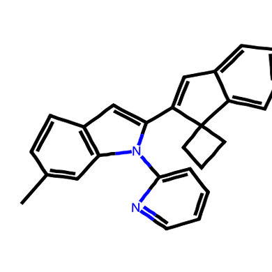 Cc1ccc2cc(C3=Cc4ccccc4C34CCC4)n(-c3ccccn3)c2c1